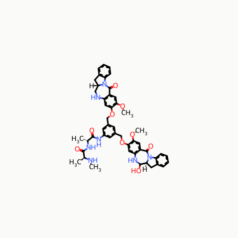 CN[C@@H](C)C(=O)N[C@H](C)C(=O)Nc1cc(COc2cc3c(cc2OC)C(=O)N2c4ccccc4C[C@H]2CN3)cc(COc2cc3c(cc2OC)C(=O)N2c4ccccc4C[C@H]2C(O)N3)c1